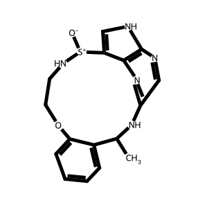 CC1Nc2cnc3[nH]cc(c3n2)[S+]([O-])NCCOc2ccccc21